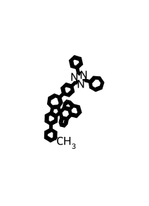 Cc1cccc(-c2ccc3c(c2)C2(C4=C3CC=CC(c3ccc(-c5nc(C6=CCCC=CC6)nc(-c6ccccc6)n5)cc3)=C4)c3ccccc3-c3cccc4cccc2c34)c1